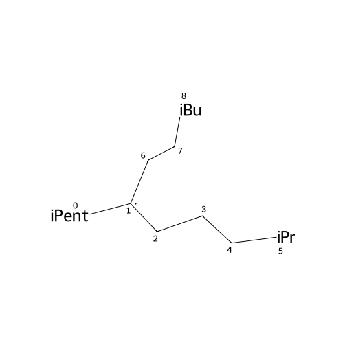 CCCC(C)[C](CCCC(C)C)CCC(C)CC